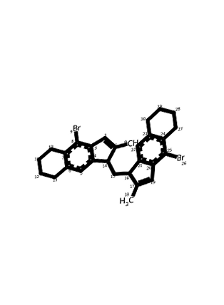 CC1=Cc2c(cc3c(c2Br)CCCC3)C1CC1C(C)=Cc2c1cc1c(c2Br)CCCC1